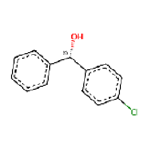 O[C@@H](c1ccccc1)c1ccc(Cl)cc1